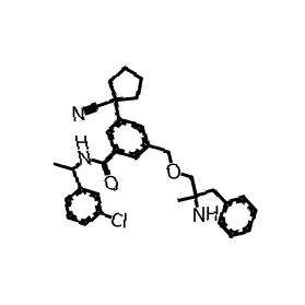 CC(NC(=O)c1cc(COCC(C)(N)Cc2ccccc2)cc(C2(C#N)CCCC2)c1)c1cccc(Cl)c1